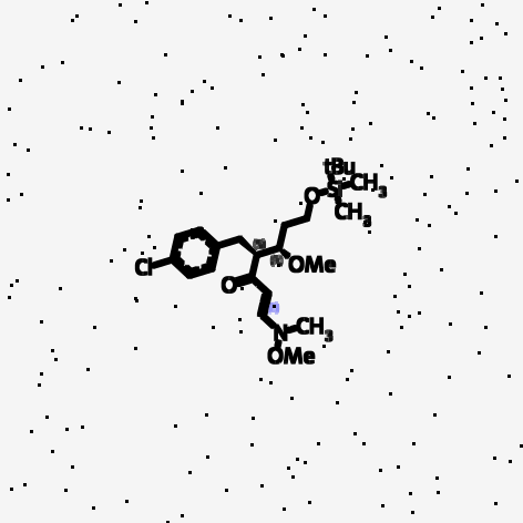 CO[C@H](CCO[Si](C)(C)C(C)(C)C)[C@H](Cc1ccc(Cl)cc1)C(=O)/C=C/N(C)OC